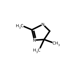 CC1=NC(C)(C)C[N]1